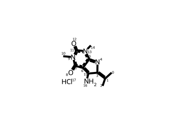 CC(C)=C1N=c2c(c(=O)n(C)c(=O)n2C)=C1N.Cl